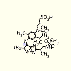 Cc1cc2c(cc1/N=C1/C(C(C)(C)C)=Nn3nc(C(C)CNS(C)(=O)=O)nc31)C(C)CC(C)(C)N2CCCS(=O)(=O)O